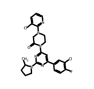 CC1CCCN1c1nc(-c2ccc(F)c(Cl)c2)cc(N2CCN(c3ncccc3Cl)CC2=O)n1